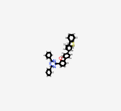 c1ccc(-c2nc(-c3ccccc3)nc(-c3cccc4c3oc3cc(-c5ccc6c(c5)sc5ccccc56)ccc34)n2)cc1